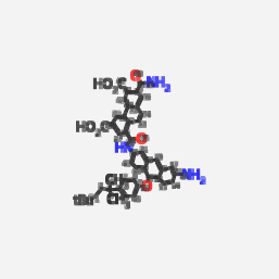 CC(C)(C)CCC(C)(C)c1ccc(Oc2c3ccc(N)cc3cc3cc(NC(=O)c4cc(C(=O)O)cc5c4ccc4cc(C(N)=O)c(C(=O)O)cc45)ccc23)cc1